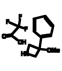 COC1(c2ccccc2)CNC1.O=C(O)C(F)(F)F